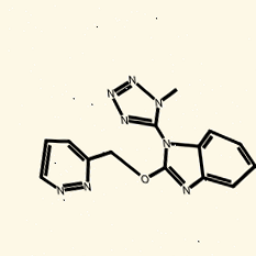 Cn1nnnc1-n1c(OCc2cccnn2)nc2ccccc21